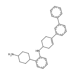 NC1CCC(c2ccccc2NC2CC=C(c3cccc(-c4ccccc4)c3)CC2)CC1